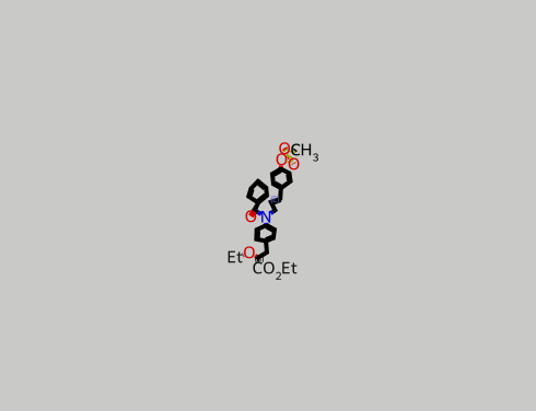 CCOC(=O)[C@H](Cc1ccc(N(C/C=C/c2ccc(OS(C)(=O)=O)cc2)C(=O)c2ccccc2)cc1)OCC